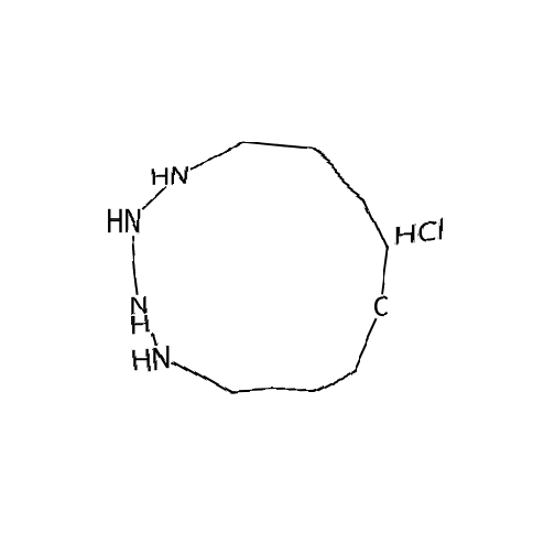 C1CCCCNNNNCCC1.Cl